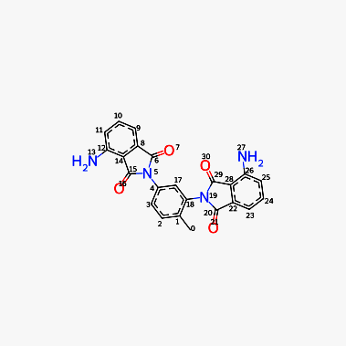 Cc1ccc(N2C(=O)c3cccc(N)c3C2=O)cc1N1C(=O)c2cccc(N)c2C1=O